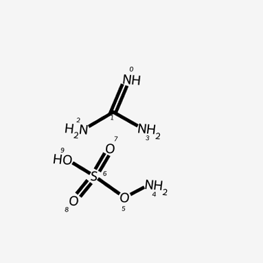 N=C(N)N.NOS(=O)(=O)O